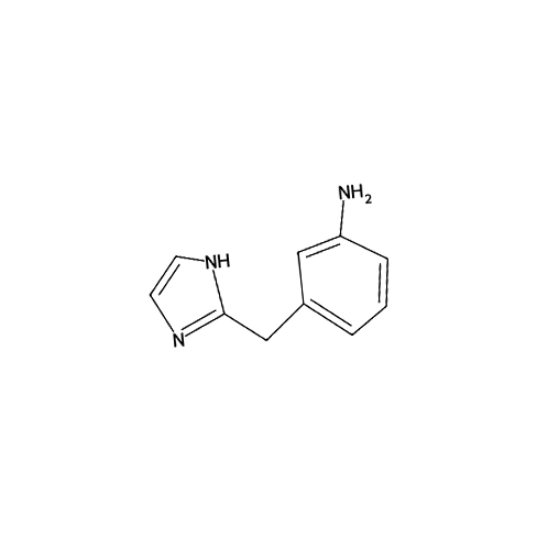 Nc1cccc(Cc2ncc[nH]2)c1